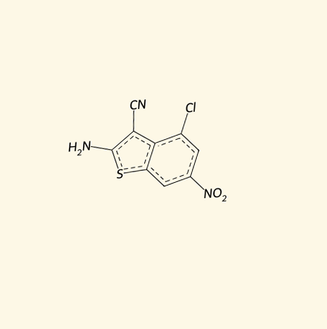 N#Cc1c(N)sc2cc([N+](=O)[O-])cc(Cl)c12